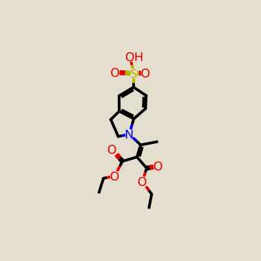 CCOC(=O)C(C(=O)OCC)=C(C)N1CCc2cc(S(=O)(=O)O)ccc21